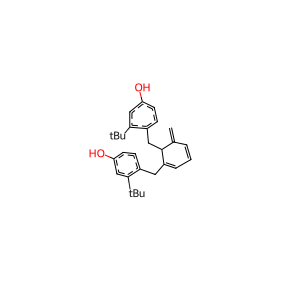 C=C1C=CC=C(Cc2ccc(O)cc2C(C)(C)C)C1Cc1ccc(O)cc1C(C)(C)C